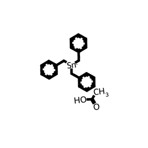 CC(=O)O.c1ccc([CH2][Sn]([CH2]c2ccccc2)[CH2]c2ccccc2)cc1